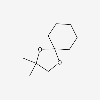 CC1(C)COC2(CCCCC2)O1